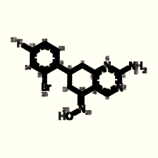 Nc1ncc2c(n1)CC(c1ccc(F)cc1Br)CC2=NO